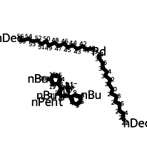 CCCCCC1=C(c2cccc(CCCC)c2)[N+](=[N-])C(c2cccc(CCCC)c2)=C1CCCC.CCCCCCCCCCCCCCCCCCCCCCCCC[CH2][Pd][CH2]CCCCCCCCCCCCCCCCCCCCCCCCC